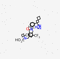 Cn1cnnc1C1(c2cccc(N3Cc4c(cc(CN(C(=O)O)C5(C)CCC5)cc4C(F)(F)F)C3=O)c2)CC2(CCC2)C1